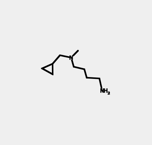 CN(CCCCN)CC1CC1